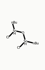 CCC[CH2][SnH]([Cl])[O][SnH]([Cl])[CH2]CCC